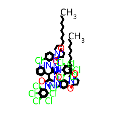 CCCCCCCCCCCC[N+]1(c2ccc(Cl)c(Nc3[nH]n(-c4c(Cl)c(Cl)c(Cl)c(Cl)c4Cl)c(=O)c3C(c3ccccc3)c3c(Nc4cc([N+]5(CCCCCCCCCCCC)C(=O)CCC5=O)ccc4Cl)[nH]n(-c4c(Cl)c(Cl)c(Cl)c(Cl)c4Cl)c3=O)c2)C(=O)CCC1=O